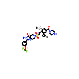 Cc1cc(C(=O)N2CCNCC2)cc(C)c1/C=C/S(=O)(=O)N1CCC2(CC1)N=C(c1cccc(OC(F)(F)F)c1)NC2=O